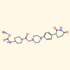 CC(C)(C)OC(=O)NC1CCN(C(=O)CN2CCN(c3ccc(C4CCC(=O)NC4=O)cc3)CC2)CC1